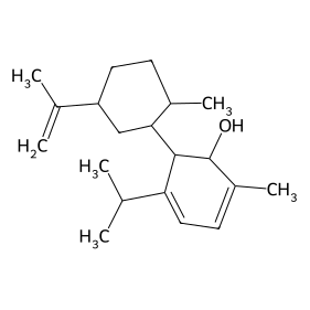 C=C(C)C1CCC(C)C(C2C(C(C)C)=CC=C(C)C2O)C1